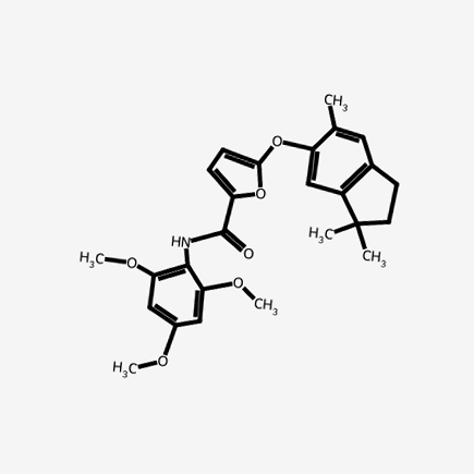 COc1cc(OC)c(NC(=O)c2ccc(Oc3cc4c(cc3C)CCC4(C)C)o2)c(OC)c1